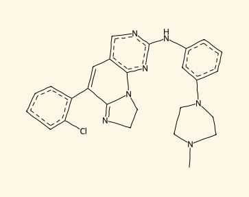 CN1CCN(c2cccc(Nc3ncc4c(n3)N3CCN=C3C(c3ccccc3Cl)=C4)c2)CC1